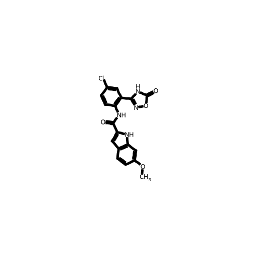 COc1ccc2cc(C(=O)Nc3ccc(Cl)cc3-c3noc(=O)[nH]3)[nH]c2c1